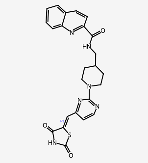 O=C1NC(=O)/C(=C/c2ccnc(N3CCC(CNC(=O)c4ccc5ccccc5n4)CC3)n2)S1